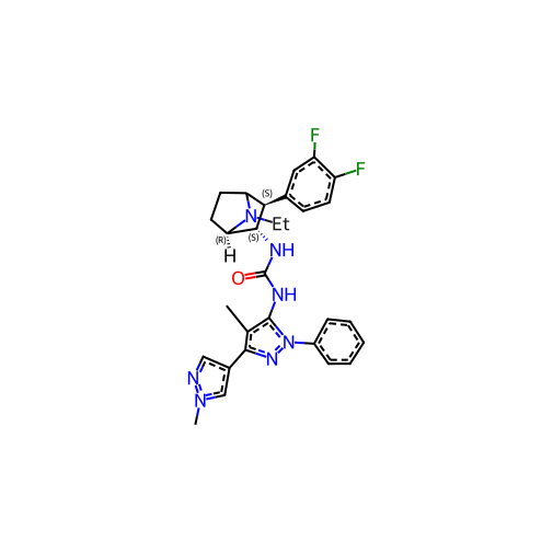 CCN1C2CC[C@@H]1[C@@H](NC(=O)Nc1c(C)c(-c3cnn(C)c3)nn1-c1ccccc1)[C@@H]2c1ccc(F)c(F)c1